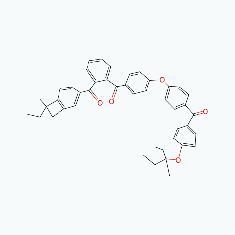 CCC(C)(CC)Oc1ccc(C(=O)c2ccc(Oc3ccc(C(=O)c4ccccc4C(=O)c4ccc5c(c4)CC5(C)CC)cc3)cc2)cc1